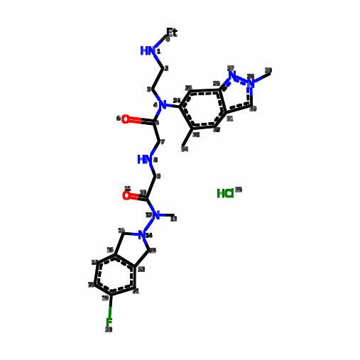 CCNCCN(C(=O)CNCC(=O)N(C)N1Cc2ccc(F)cc2C1)c1cc2nn(C)cc2cc1C.Cl